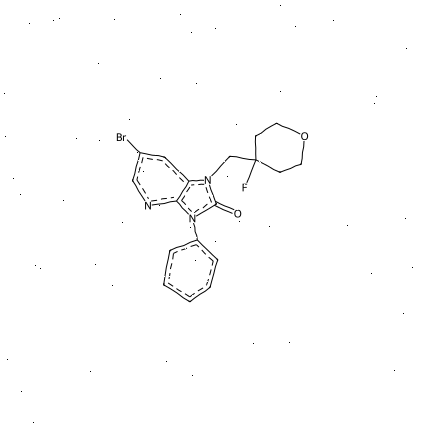 O=c1n(CC2(F)CCOCC2)c2cc(Br)cnc2n1-c1ccccc1